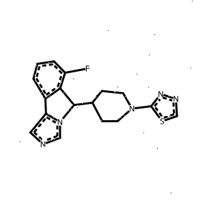 Fc1cccc2c1C(C1CCN(c3nncs3)CC1)n1cncc1-2